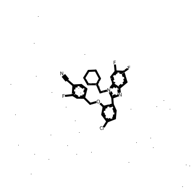 N#Cc1ccc(COc2cc(Cl)ccc2-c2nc3cc(F)c(F)cc3n2CC2CCCCC2)cc1F